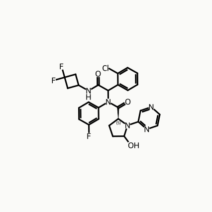 O=C(NC1CC(F)(F)C1)C(c1ccccc1Cl)N(C(=O)[C@@H]1CCC(O)N1c1cnccn1)c1cccc(F)c1